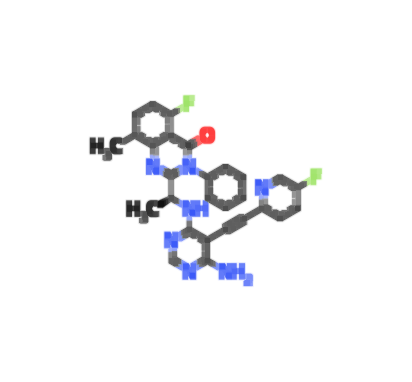 Cc1ccc(F)c2c(=O)n(-c3ccccc3)c([C@H](C)Nc3ncnc(N)c3C#Cc3ccc(F)cn3)nc12